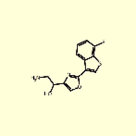 NCC(O)c1coc(-c2csc3c(F)cccc23)n1